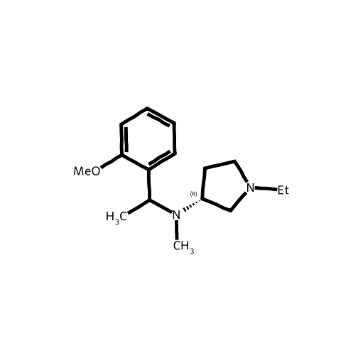 CCN1CC[C@@H](N(C)C(C)c2ccccc2OC)C1